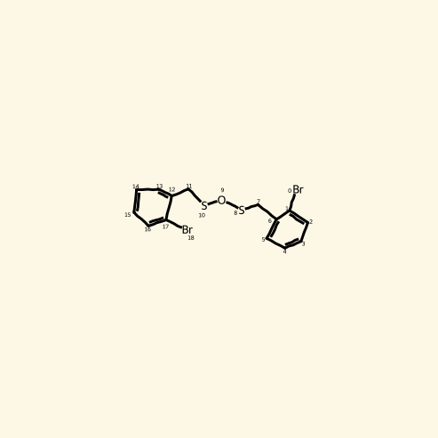 Brc1ccccc1CSOSCc1ccccc1Br